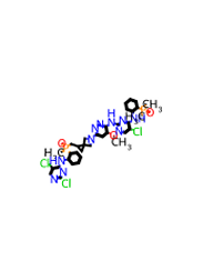 COc1cc(N2CC3(CC3CP(C)(=O)c3ccccc3Nc3nc(Cl)ncc3Cl)C2)nnc1Nc1ncc(Cl)c(Nc2ccccc2P(C)(C)=O)n1